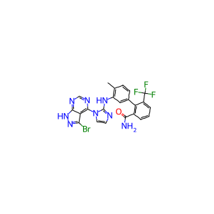 Cc1ccc(-c2c(C(N)=O)cccc2C(F)(F)F)cc1Nc1nccn1-c1ncnc2[nH]nc(Br)c12